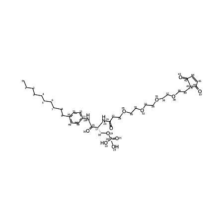 CCCCCCCCCCc1ccc(NC(=O)[C@@H](COP(=O)(O)O)NC(=O)CCOCCOCCOCCOCCN2C(=O)C=CC2=O)cc1